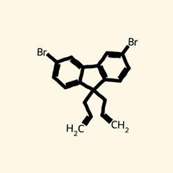 C=CCC1(CC=C)c2ccc(Br)cc2-c2cc(Br)ccc21